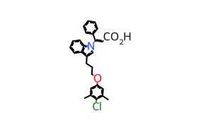 Cc1cc(OCCCc2cn(C(=CC(=O)O)c3ccccc3)c3ccccc23)cc(C)c1Cl